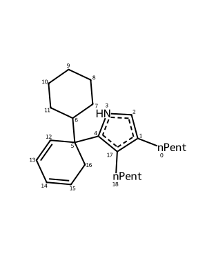 CCCCCc1c[nH]c(C2(C3CCCCC3)C=CC=CC2)c1CCCCC